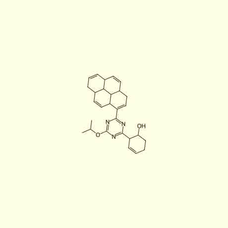 CC(C)Oc1nc(C2=CCC3C=CC4C=CCC5C=CC2C3C45)nc(C2C=CCCC2O)n1